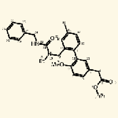 CCCOC(=O)Cc1ccc(OC)c(-c2ccc(C)cc2CN(CC)C(=O)NCc2ccccc2)c1